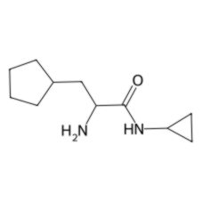 NC(CC1CCCC1)C(=O)NC1CC1